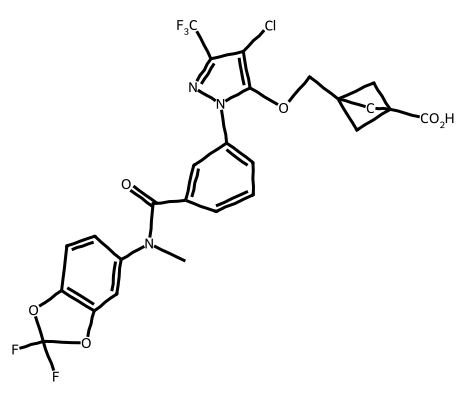 CN(C(=O)c1cccc(-n2nc(C(F)(F)F)c(Cl)c2OCC23CC(C(=O)O)(C2)C3)c1)c1ccc2c(c1)OC(F)(F)O2